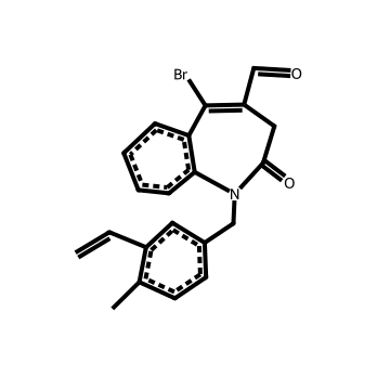 C=Cc1cc(CN2C(=O)CC(C=O)=C(Br)c3ccccc32)ccc1C